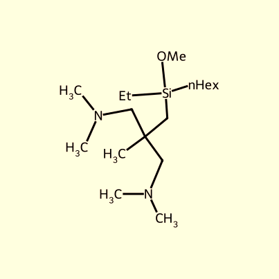 CCCCCC[Si](CC)(CC(C)(CN(C)C)CN(C)C)OC